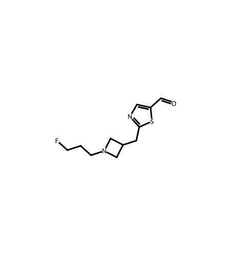 O=Cc1cnc(CC2CN(CCCF)C2)s1